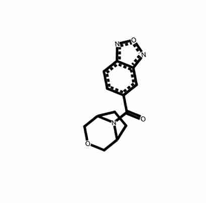 O=C(c1ccc2nonc2c1)N1C2CCC1COC2